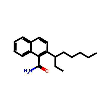 CCCCCC(CC)c1ccc2ccccc2c1C(N)=O